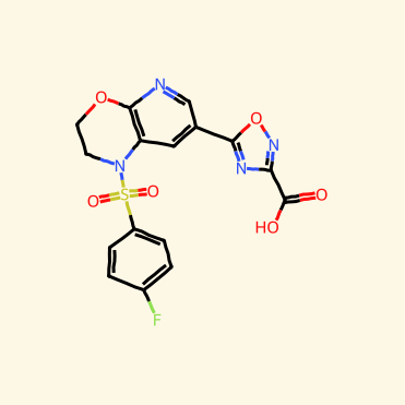 O=C(O)c1noc(-c2cnc3c(c2)N(S(=O)(=O)c2ccc(F)cc2)CCO3)n1